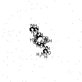 Nc1cc2c(ncn2[C@@H]2O[C@@H]3COP(=O)(S)O[C@H]4[C@H](F)[C@H](n5ccc6c(N)ccnc65)O[C@@H]4COP(=O)(S)O[C@@H]2[C@@H]3F)c(=O)[nH]1